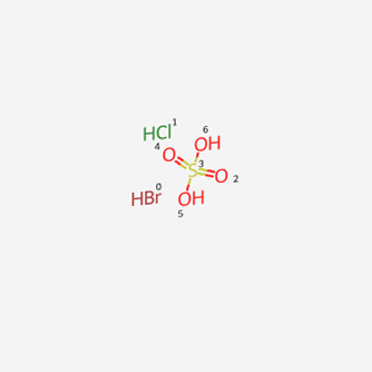 Br.Cl.O=S(=O)(O)O